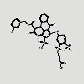 O=C(O)CCCS(=O)(=O)c1cc(Nc2cc(S(=O)(=O)O)c3[nH]c(=O)c(C(=O)OCc4cccc(Cl)c4)c4c3c2C(=O)c2ccccc2-4)ccc1S(=O)(=O)O